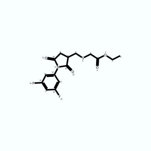 CCOC(=O)CSCC1CC(=O)N(c2cc(F)cc(F)c2)C1=O